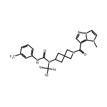 [2H]C([2H])([2H])N(C(=O)Nc1cccc(C(F)(F)F)c1)C1CC2(C1)CN(C(=O)c1cnn3ccn(C)c13)C2